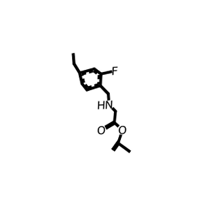 C=C(C)OC(=O)CNCc1ccc(CC)cc1F